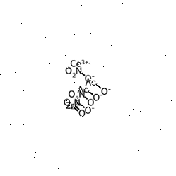 CC(=O)[O-].CC(=O)[O-].O=[N+]([O-])[O-].O=[N+]([O-])[O-].O=[N+]([O-])[O-].[Ce+3].[O]=[Zr+2]